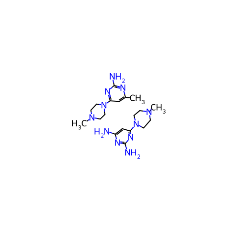 CN1CCN(c2cc(N)nc(N)n2)CC1.Cc1cc(N2CCN(C)CC2)nc(N)n1